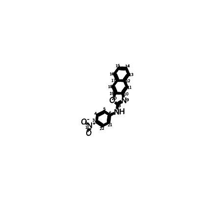 O=[N+]([O-])c1ccc(Nc2nc3cc4ccccc4cc3o2)cc1